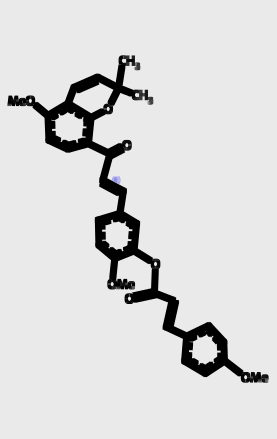 COc1ccc(C=CC(=O)Oc2cc(/C=C/C(=O)c3ccc(OC)c4c3OC(C)(C)C=C4)ccc2OC)cc1